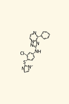 Cn1ccnc1Sc1ccc(Nc2nc3c(-c4ccccc4)nccn3n2)cc1Cl